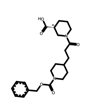 O=C(O)[C@@H]1CCCN(C(=O)CCC2CCN(C(=O)OCc3ccccc3)CC2)C1